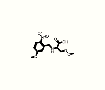 COOCC(NCc1cc(OC)ccc1[N+](=O)[O-])C(=O)O